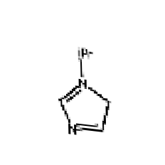 CC(C)[N+]1=CN=CC1